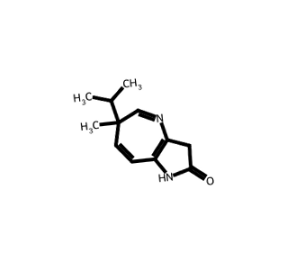 CC(C)C1(C)C=CC2=C(CC(=O)N2)N=C1